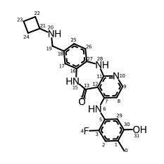 Cc1cc(F)c(Nc2ccnc3c2C(=O)Nc2cc(CNC4CCC4)ccc2N3)cc1O